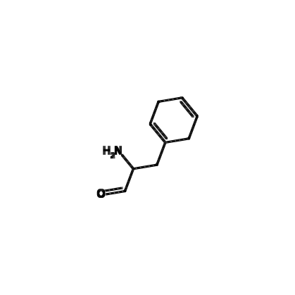 NC(C=O)CC1=CCC=CC1